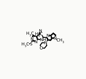 CSc1nc(C)c(C#N)c(NC(C)c2nc3ccn(C)c3cc2N2CCOCC2)n1